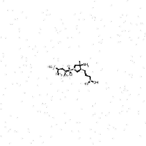 CCCN(CC(N)C(=O)O)S(=O)(=O)N1C[C@H](CCCB(O)O)[C@@](C)(N)C1